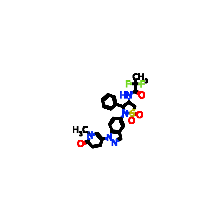 Cn1cc(-n2ncc3cc(N4C(c5ccccc5)[C@@H](NC(=O)C(C)(F)F)CS4(=O)=O)ccc32)ccc1=O